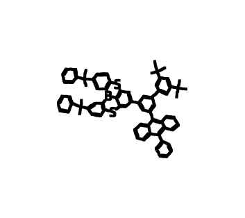 CC(C)(C)c1cc(-c2cc(-c3cc4c5c(c3)Sc3ccc(C(C)(C)c6ccccc6)cc3B5c3cc(C(C)(C)c5ccccc5)ccc3S4)cc(-c3c4ccccc4c(-c4ccccc4)c4ccccc34)c2)cc(C(C)(C)C)c1